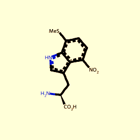 CSc1ccc([N+](=O)[O-])c2c(C[C@H](N)C(=O)O)c[nH]c12